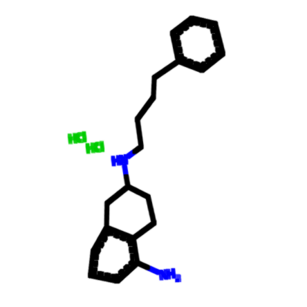 Cl.Cl.Nc1cccc2c1CCC(NCCCCc1ccccc1)C2